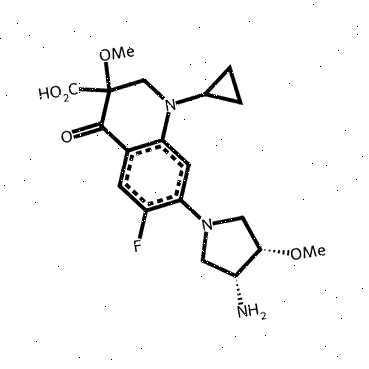 CO[C@H]1CN(c2cc3c(cc2F)C(=O)C(OC)(C(=O)O)CN3C2CC2)C[C@H]1N